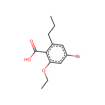 CCCc1cc(Br)cc(OCC)c1C(=O)O